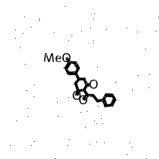 COc1ccc(C2CC(=O)C(C(=O)CCc3ccccc3)C(=O)C2)cc1